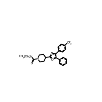 CN(O)C(=O)N1CCC(c2nc(-c3ccc(C(F)(F)F)cc3)c(-c3ccccc3)o2)CC1